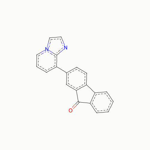 O=C1c2ccccc2-c2ccc(-c3cccn4ccnc34)cc21